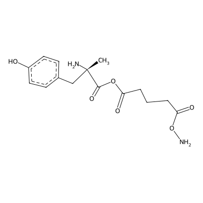 C[C@](N)(Cc1ccc(O)cc1)C(=O)OC(=O)CCCC(=O)ON